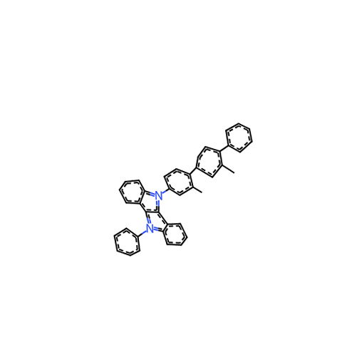 Cc1cc(-c2ccc(-n3c4ccccc4c4c3c3ccccc3n4-c3ccccc3)cc2C)ccc1-c1ccccc1